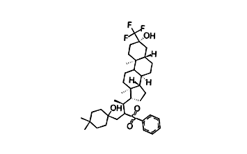 C[C@H](C(CC1(O)CCC(C)(C)CC1)S(=O)(=O)c1ccccc1)[C@H]1CC[C@H]2[C@@H]3CC[C@H]4C[C@](O)(C(F)(F)F)CC[C@]4(C)C3CC[C@]12C